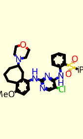 COc1ccc(Nc2ncc(Cl)c(Nc3ccccc3S(=O)(=O)C(C)C)n2)c2c1CCCC(N1CCOCC1)C2